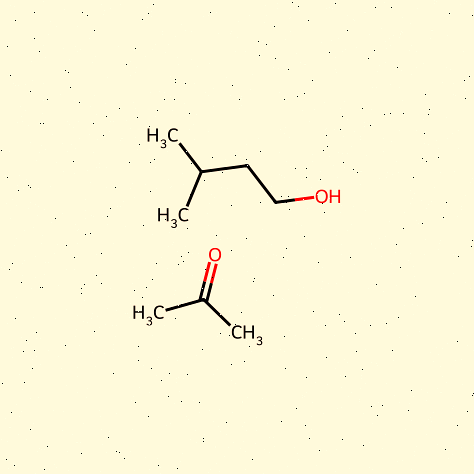 CC(C)=O.CC(C)CCO